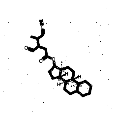 C=C=CC(C)C(C=O)CC(=O)OC1CC[C@H]2[C@@H]3CCC4CCCC[C@]4(C)[C@H]3CC[C@]12C